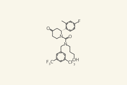 Cc1cc(F)ccc1[C@H]1CC(=O)CCN1C(=O)N(CCCO)Cc1cc(C(F)(F)F)cc(C(F)(F)F)c1